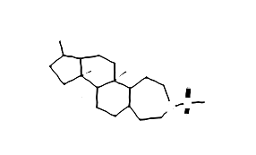 C[C@]12CCN(S(C)(=O)=O)CCC1CC[C@@H]1[C@@H]2CC[C@]2(C)C(O)CC[C@@H]12